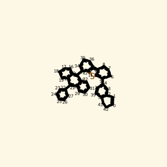 C1=Cc2cc(-c3cccc4c3sc3c(-c5c6ccccc6c(-c6ccccc6)c6ccccc56)cccc34)ccc2CC1